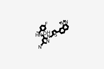 C[C@H](NC(=O)c1cc(C#N)cnc1NCc1ccc(-c2ccc3ccc4ncn(C)c4c3c2)s1)c1ccc(F)cc1